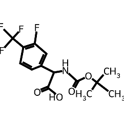 CC(C)(C)OC(=O)NC(C(=O)O)c1ccc(C(F)(F)F)c(F)c1